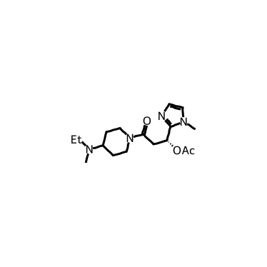 CCN(C)C1CCN(C(=O)C[C@@H](OC(C)=O)c2nccn2C)CC1